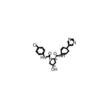 O=C(NC1=CCC(c2cncnc2)C=C1)[C@H]1C[C@@H](O)CN1C(=O)Nc1ccc(Cl)cc1